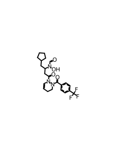 O=CN(O)C(CC(=O)N1C=CCCN1C(=O)c1ccc(C(F)(F)F)cc1)CC1CCCC1